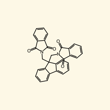 O=C1c2ccccc2C(=O)N1CC1(CN2C(=O)c3ccccc3C2=O)c2ccccc2-c2ccccc21